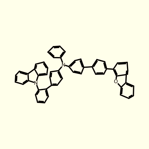 c1ccc(N(c2ccc(-c3ccc(-c4cccc5c4oc4ccccc45)cc3)cc2)c2ccc(-c3ccccc3-n3c4ccccc4c4ccccc43)cc2)cc1